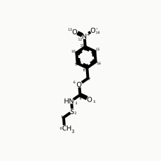 CCSNC(=O)OCc1ccc([N+](=O)[O-])cc1